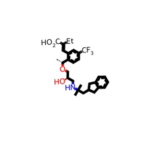 CCC(=Cc1cc(C(F)(F)F)ccc1[C@@H](C)OC[C@H](O)CNC(C)(C)CC1Cc2ccccc2C1)C(=O)O